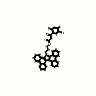 O=C(CC(=O)c1cc(F)c(F)cc1F)OCCCC1c2c(c3ccccc3c3ccccc23)-c2c1c1ccccc1c1ccccc21